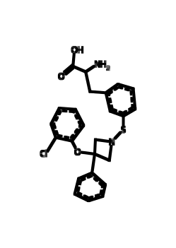 NC(Cc1cccc(SN2CC(Oc3ccccc3Cl)(c3ccccc3)C2)c1)C(=O)O